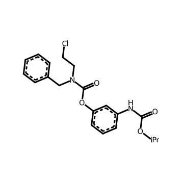 CC(C)OC(=O)Nc1cccc(OC(=O)N(CCCl)Cc2ccccc2)c1